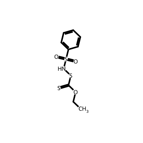 CCOC(=S)SNS(=O)(=O)c1ccccc1